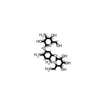 NCC1OC(OC2C[C@H](OC3OC(CO)C(O)C(N)C3O)C(N)CC2N)C(O)C(O)C1O